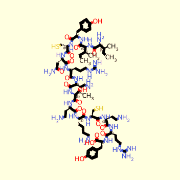 CC[C@H](C)[C@H](N)C(=O)N[C@H](C(=O)N[C@@H](Cc1ccc(O)cc1)C(=O)N[C@@H](CS)C(=O)N[C@@H](CC(N)=O)C(=O)N[C@@H](CCCNC(=N)N)C(=O)N[C@@H](CCN)C(=O)N[C@H](C(=O)N[C@H](CCN)C(=O)N[C@@H](CCCCN)C(=O)N[C@@H](CS)C(=O)N[C@@H](CCN)C(=O)N[C@@H](CCCNC(=N)N)C(=O)N[C@@H](Cc1ccc(O)cc1)C(=O)O)[C@@H](C)O)[C@@H](C)CC